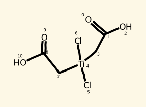 O=C(O)[CH2][Ti]([Cl])([Cl])[CH2]C(=O)O